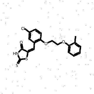 Cc1ccccc1OCCOc1ccc(Cl)cc1C=C1SC(=S)NC1=O